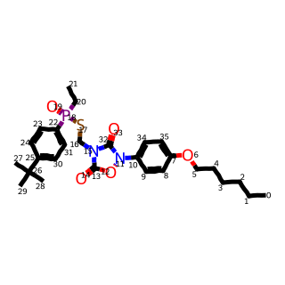 CCCCCCOc1ccc(-n2oc(=O)n(CSP(=O)(CC)c3ccc(C(C)(C)C)cc3)c2=O)cc1